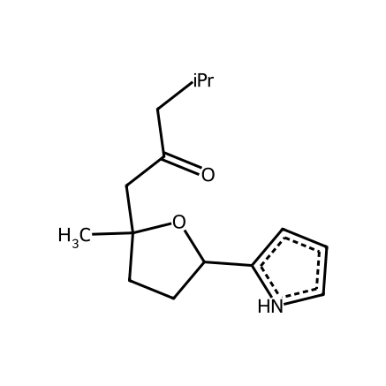 CC(C)CC(=O)CC1(C)CCC(c2ccc[nH]2)O1